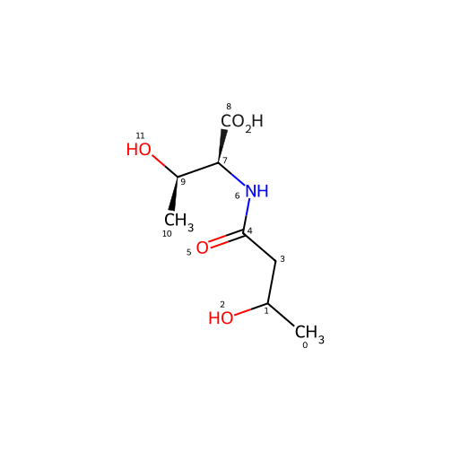 CC(O)CC(=O)N[C@H](C(=O)O)[C@@H](C)O